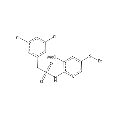 CCSc1cnc(NS(=O)(=O)Cc2cc(Cl)cc(Cl)c2)c(OC)c1